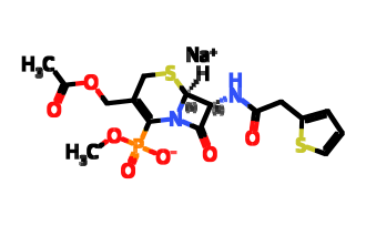 COP(=O)([O-])C1=C(COC(C)=O)CS[C@H]2[C@H](NC(=O)Cc3cccs3)C(=O)N12.[Na+]